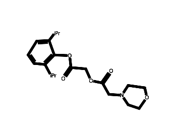 CC(C)c1cccc(C(C)C)c1OC(=O)COC(=O)CN1CCOCC1